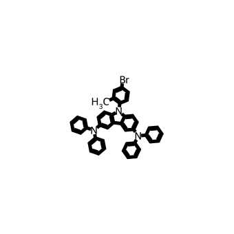 Cc1cc(Br)ccc1-n1c2ccc(N(c3ccccc3)c3ccccc3)cc2c2cc(N(c3ccccc3)c3ccccc3)ccc21